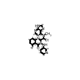 CCC(c1nc2cccc(F)c2c(=O)n1Nc1cccnc1)N(C)c1ncnc2[nH]cnc12